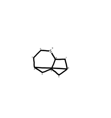 C1CC2CC3CC2CC3S1